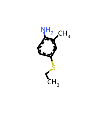 CCSc1ccc(N)c(C)c1